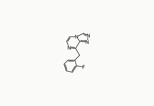 Fc1ccccc1Cc1nccn2cnnc12